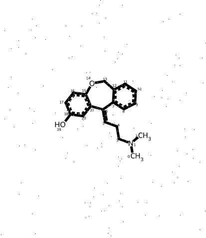 CN(C)CC/C=C1\c2ccccc2COc2ccc(O)cc21